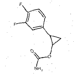 NC(=O)OC1CC1c1ccc(F)c(F)c1